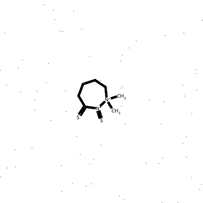 C[N+]1(C)CCCCC(=S)[N+]1=S